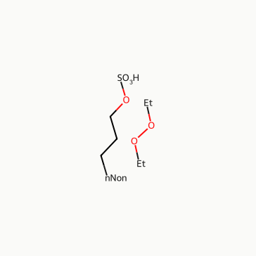 CCCCCCCCCCCCOS(=O)(=O)O.CCOOCC